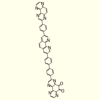 O=C1C(=O)c2nc(-c3ccc(-c4ccc(-c5cnc6c(ccc7cc(-c8ccc(-c9cnc%10c(ccc%11nccnc%11%10)n9)cc8)cnc76)c5)cc4)cc3)cnc2-c2nccnc21